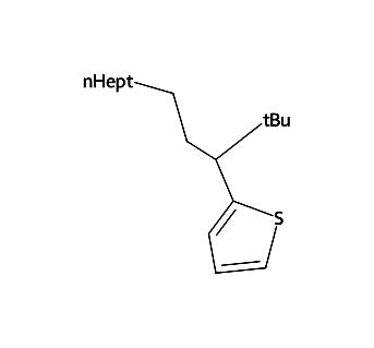 CCCCCCCCCC(c1cccs1)C(C)(C)C